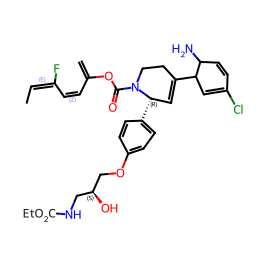 C=C(/C=C\C(F)=C/C)OC(=O)N1CCC(C2C=C(Cl)C=CC2N)=C[C@@H]1c1ccc(OC[C@@H](O)CNC(=O)OCC)cc1